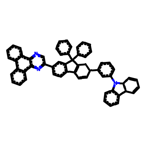 C1=CC2c3ccccc3N(c3cccc(C4C=CC5=C(C4)C(c4ccccc4)(c4ccccc4)c4cc(-c6cnc7c8ccccc8c8ccccc8c7n6)ccc45)c3)C2C=C1